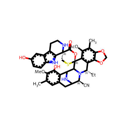 CC[C@H]1c2c3c(c(C)c(OC(C)=O)c2[C@]2(OC(=O)[C@]4(CS2)NCCc2c4[nH]c4ccc(O)cc24)C2C4NC(Cc5cc(C)c(OC)c(O)c54)[C@H](C#N)N21)OCO3